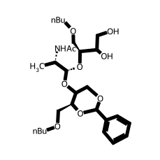 CCCCOC[C@H](O[C@H](OC1COC(c2ccccc2)O[C@H]1COCCCC)[C@H](C)NC(C)=O)C(O)CO